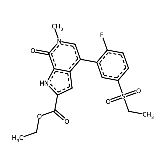 CCOC(=O)c1cc2c(-c3cc(S(=O)(=O)CC)ccc3F)cn(C)c(=O)c2[nH]1